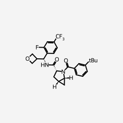 CC(C)(C)c1cccc(C(=O)N2[C@@H](C(=O)N[C@@H](c3ccc(C(F)(F)F)cc3F)C3COC3)C[C@H]3C[C@H]32)c1